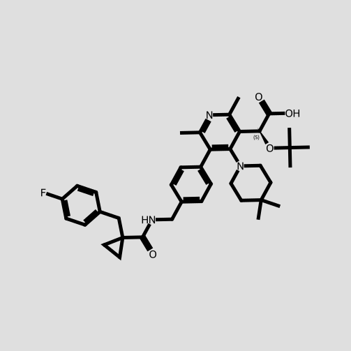 Cc1nc(C)c([C@H](OC(C)(C)C)C(=O)O)c(N2CCC(C)(C)CC2)c1-c1ccc(CNC(=O)C2(Cc3ccc(F)cc3)CC2)cc1